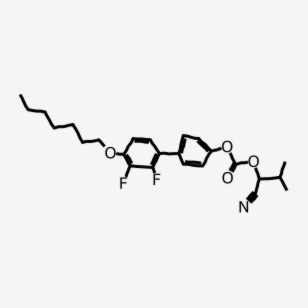 CCCCCCCOc1ccc(-c2ccc(OC(=O)OC(C#N)C(C)C)cc2)c(F)c1F